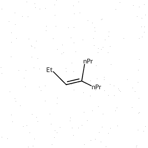 [CH2]CCC(=CCC)CCC